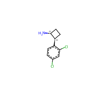 N[C@H]1CC[C@H]1c1ccc(Cl)cc1Cl